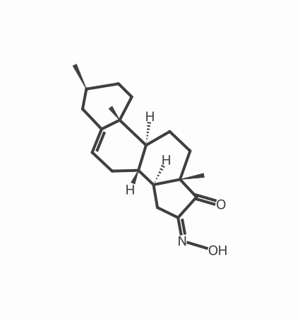 C[C@H]1CC[C@@]2(C)C(=CC[C@@H]3[C@@H]2CC[C@]2(C)C(=O)/C(=N\O)C[C@@H]32)C1